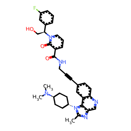 Cc1nc2cnc3ccc(C#CCNC(=O)c4cccn([C@@H](CO)c5cccc(F)c5)c4=O)cc3c2n1[C@H]1CC[C@H](N(C)C)CC1